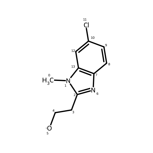 Cn1c(CC[O])nc2ccc(Cl)cc21